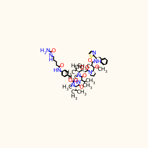 CO[C@H]([C@@H](C)C(=O)N[C@@H](Cc1ccccc1)c1nccs1)[C@@H]1CCCN1C(=O)C[C@@H](OC)[C@H](C(C)C)N(C)C(=O)[C@@H](NC(=O)[C@H](C(C)C)N(C)C(=O)OCc1ccc(NC(=O)CCCCNC(N)=O)cc1)C(C)C